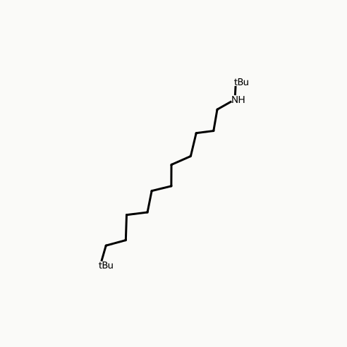 CC(C)(C)CCCCCCCCCCCNC(C)(C)C